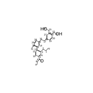 CCCc1cc(C(=O)CC)ccc1-c1cc(CCc2ccc(CO)c(CO)c2)ccc1C